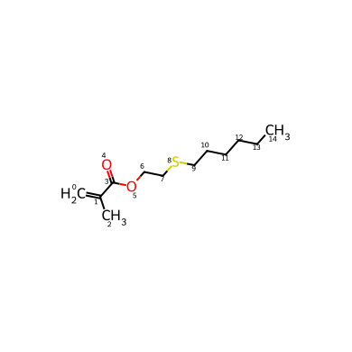 C=C(C)C(=O)OCCSCCCCCC